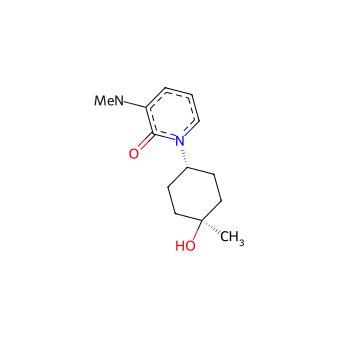 CNc1cccn([C@H]2CC[C@](C)(O)CC2)c1=O